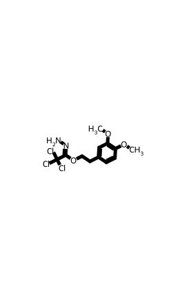 COc1ccc(CCOC(=NN)C(Cl)(Cl)Cl)cc1OC